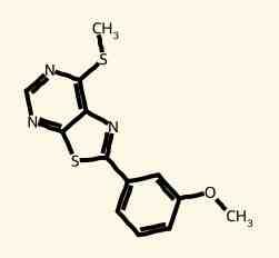 COc1cccc(-c2nc3c(SC)ncnc3s2)c1